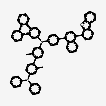 Cc1cc(N(c2ccccc2)c2ccccc2)ccc1-c1ccc(N(c2ccc(-c3ccc(-c4cccc5c4oc4ccccc45)c4ccccc34)cc2)c2ccc3c4ccccc4c4ccccc4c3c2)cc1C